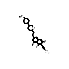 CCCC1CCC(C2CCC(CCc3cc(F)c4c(F)c(C#CC(F)(F)F)c(F)cc4c3)OC2)CC1